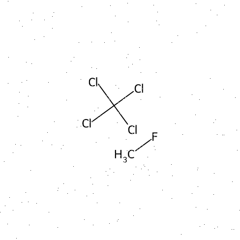 CF.ClC(Cl)(Cl)Cl